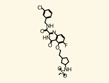 CS(=O)(=O)NC1CCC(CCOc2c(F)ccc3nc(C(=O)NCc4cccc(Cl)c4)[nH]c(=O)c23)C1